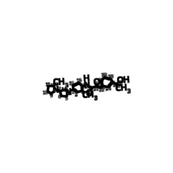 Cc1cc(N2CCC(N3CCCC3C)C2)ccc1NC(=O)c1cc2cc(C(C)O)ccc2o1